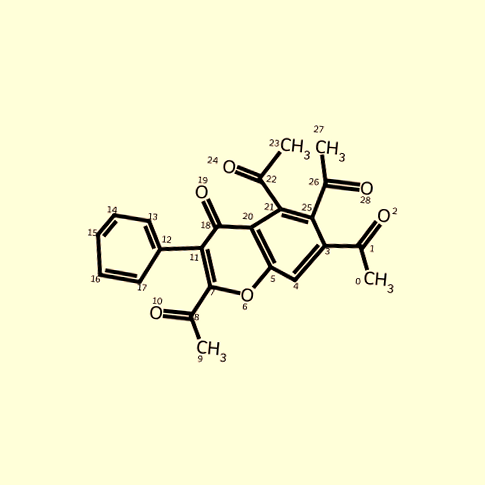 CC(=O)c1cc2oc(C(C)=O)c(-c3ccccc3)c(=O)c2c(C(C)=O)c1C(C)=O